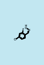 O/N=C\c1ccc(Cl)cc1F